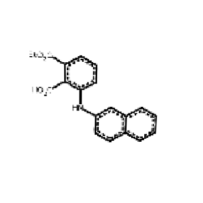 CCOC(=O)c1cccc(Nc2ccc3ccccc3c2)c1C(=O)O